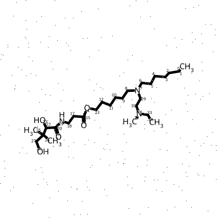 CCCCCCCN(CCCCCCOC(=O)CCNC(=O)C(O)C(C)(C)CO)CCN(C)CC